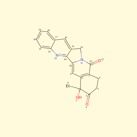 CCC1(O)C(=O)CCc2c1cc1n(c2=O)Cc2cc3ccccc3nc2-1